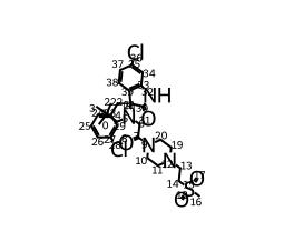 CC(C)(C)CN(CC(=O)N1CCN(CCS(C)(=O)=O)CC1)[C@@]1(Cc2cccc(Cl)c2)C(=O)Nc2cc(Cl)ccc21